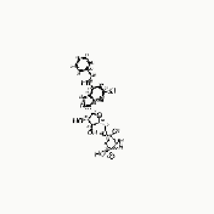 O=P(O)(O)CP(=O)(O)OC[C@H]1O[C@@H](c2ncc3c(NCc4ccccc4)cc(Cl)nn23)[C@H](O)[C@@H]1O